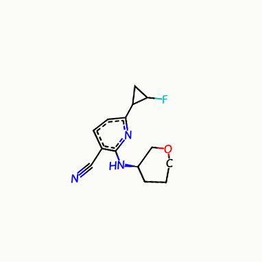 N#Cc1ccc(C2CC2F)nc1N[C@@H]1CCCOC1